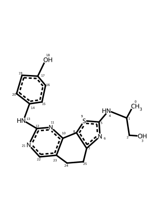 CC(CO)Nc1nc2c(s1)-c1nc(Nc3ccc(O)cc3)ncc1CC2